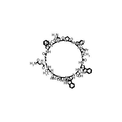 CCCC[C@H]1C(=O)N(C)[C@@H](CCCC)C(=O)N[C@@H](C)C(=O)N[C@H](C(=O)NCC(N)=O)CSCC(=O)N[C@@H](Cc2ccccc2)C(=O)N(C)[C@@H](C)C(=O)N[C@@H](CC(N)=O)C(=O)N2CCCC2C(=O)N[C@@H](Cc2cnc[nH]2)C(=O)N[C@@H](CC(C)C)C(=O)N(C)CC(=O)N[C@@H](Cc2c[nH]c3ccccc23)C(=O)N[C@@H](CO)C(=O)N[C@@H](Cc2c[nH]c3ccccc23)C(=O)N1C